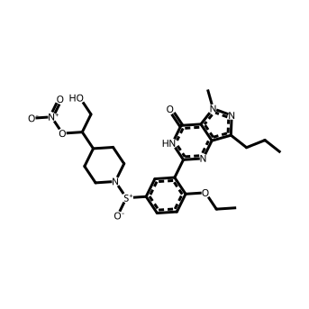 CCCc1nn(C)c2c(=O)[nH]c(-c3cc([S+]([O-])N4CCC(C(CO)O[N+](=O)[O-])CC4)ccc3OCC)nc12